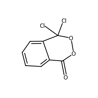 O=C1OOC(Cl)(Cl)c2ccccc21